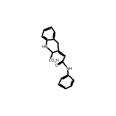 O=C(/C=C1/Cc2ccccc2NC1C(=O)O)Nc1ccccc1